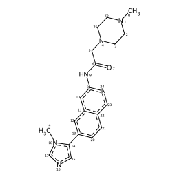 CN1CCN(CC(=O)Nc2cc3cc(-c4cncn4C)ccc3cn2)CC1